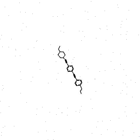 CCCc1ccc(C#Cc2ccc(C#CC3CCC(CC)CC3)cc2)cc1